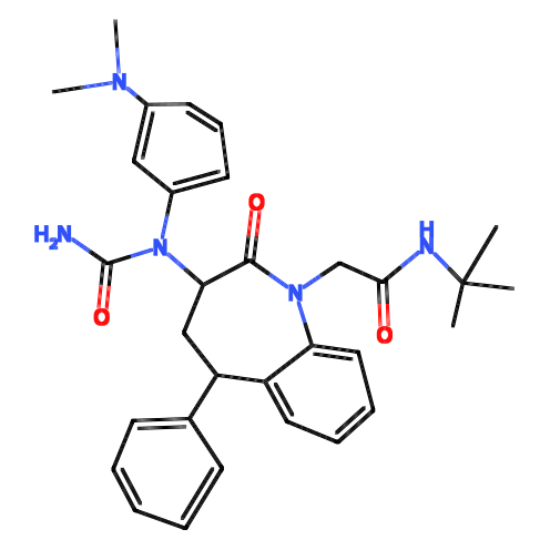 CN(C)c1cccc(N(C(N)=O)C2CC(c3ccccc3)c3ccccc3N(CC(=O)NC(C)(C)C)C2=O)c1